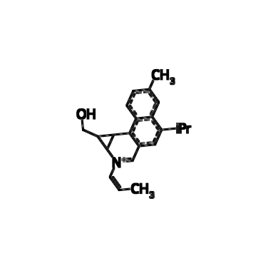 C/C=C\[N+]1=Cc2cc(C(C)C)c3cc(C)ccc3c2C2C(CO)C21